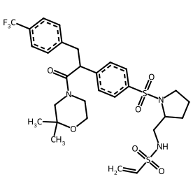 C=CS(=O)(=O)NCC1CCCN1S(=O)(=O)c1ccc(C(Cc2ccc(C(F)(F)F)cc2)C(=O)N2CCOC(C)(C)C2)cc1